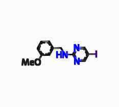 COc1cccc(CNc2ncc(I)cn2)c1